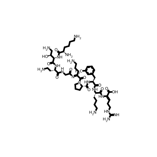 Cc1cccc(C[C@H](NC(=O)[C@@H]2CCCN2C(=O)/C(CCCN)=N/C(=O)CNC(=O)[C@H](CCN)NC(=O)[C@@H](NC(=O)[C@@H](N)CCCCN)[C@@H](O)CN)C(=O)N[C@@H](CCCCN)C(=O)N/C(=C\CCNC(=N)N)C(=O)O)c1